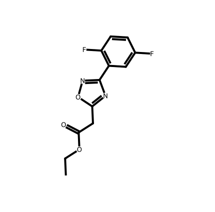 CCOC(=O)Cc1nc(-c2cc(F)ccc2F)no1